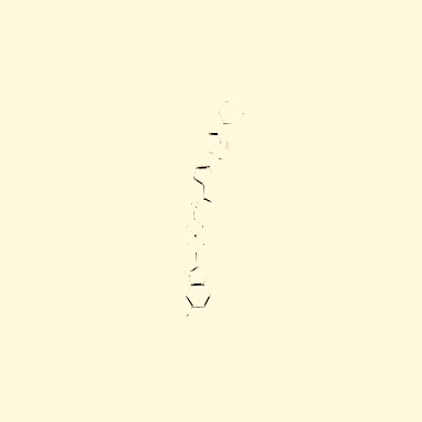 O=C(NC1CC2(C1)CC(c1nc3cc(Cl)ccc3o1)C2)c1ccc(S(=O)(=O)NC(=O)C2CCOCC2)o1